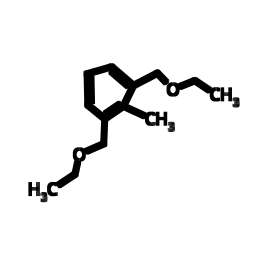 CCOCc1cccc(COCC)c1C